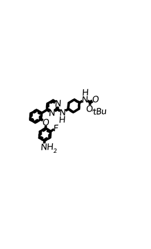 CC(C)(C)OC(=O)NC1CCC(Nc2nccc(-c3ccccc3Oc3ccc(N)cc3F)n2)CC1